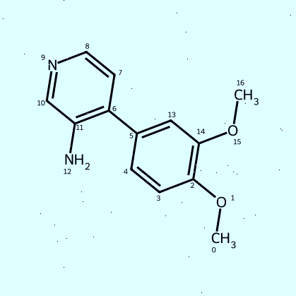 COc1ccc(-c2ccncc2N)cc1OC